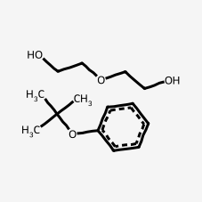 CC(C)(C)Oc1ccccc1.OCCOCCO